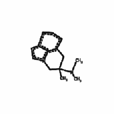 CN(C)C1(C)Cc2cccc3ccn(c23)C1